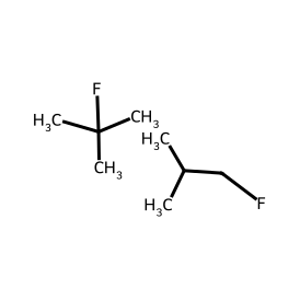 CC(C)(C)F.CC(C)CF